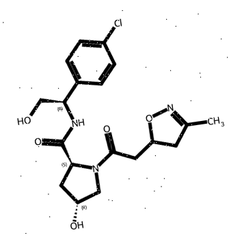 CC1=NOC(CC(=O)N2C[C@H](O)C[C@H]2C(=O)N[C@@H](CO)c2ccc(Cl)cc2)C1